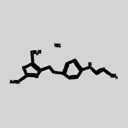 CC(=O)Nc1nc(CCc2ccc(NC=NN)cc2)c(C(=O)O)s1.Cl